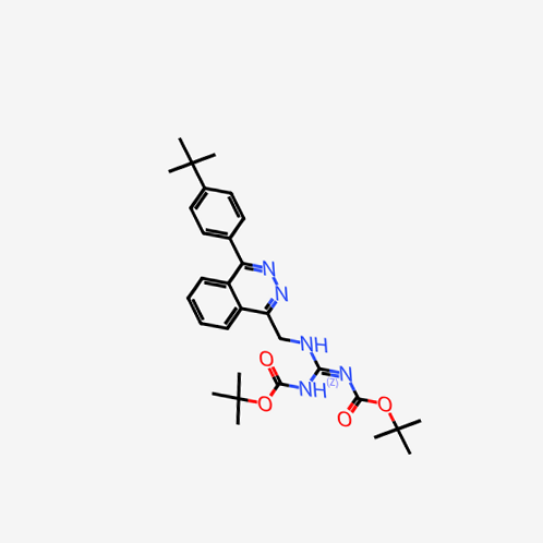 CC(C)(C)OC(=O)/N=C(/NCc1nnc(-c2ccc(C(C)(C)C)cc2)c2ccccc12)NC(=O)OC(C)(C)C